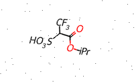 CC(C)OC(=O)C(C(F)(F)F)S(=O)(=O)O